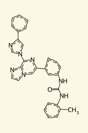 Cc1ccccc1NC(=O)Nc1cccc(-c2cn3ccnc3c(-n3cnc(-c4ccccc4)c3)n2)c1